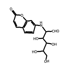 O=CC(Nc1ccc2ccc(=O)oc2c1)C(O)C(O)C(O)CO